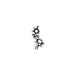 Cc1ccc(S(=O)(=O)OC2=CN3C(=O)C[C@@H]3SC2)cc1